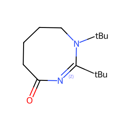 CC(C)(C)/C1=N/C(=O)CCCCN1C(C)(C)C